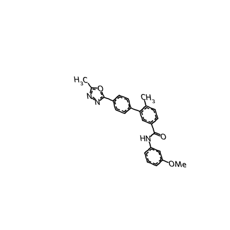 COc1cccc(NC(=O)c2ccc(C)c(-c3ccc(-c4nnc(C)o4)cc3)c2)c1